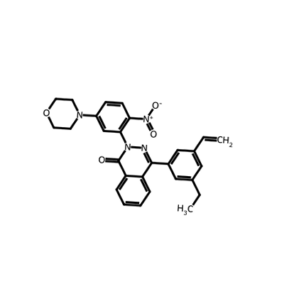 C=Cc1cc(CC)cc(-c2nn(-c3cc(N4CCOCC4)ccc3[N+](=O)[O-])c(=O)c3ccccc23)c1